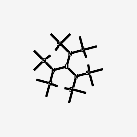 C[Si](C)(C)[N]([U]([N]([Si](C)(C)C)[Si](C)(C)C)[N]([Si](C)(C)C)[Si](C)(C)C)[Si](C)(C)C